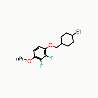 CCCOc1ccc(OCC2CCC(CC)CC2)c(F)c1F